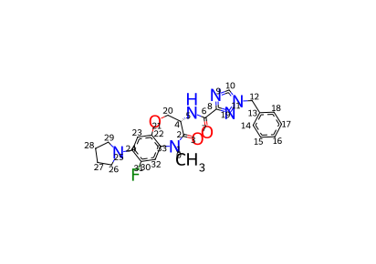 CN1C(=O)[C@@H](NC(=O)c2ncn(Cc3ccccc3)n2)COc2cc(N3CCCC3)c(F)cc21